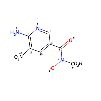 Nc1ncc(C(=O)N([O])C(=O)O)cc1[N+](=O)[O-]